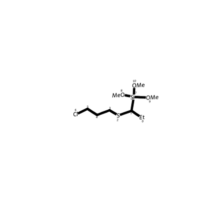 CCC(SCCCCl)[Si](OC)(OC)OC